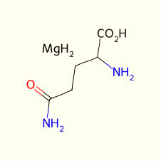 NC(=O)CCC(N)C(=O)O.[MgH2]